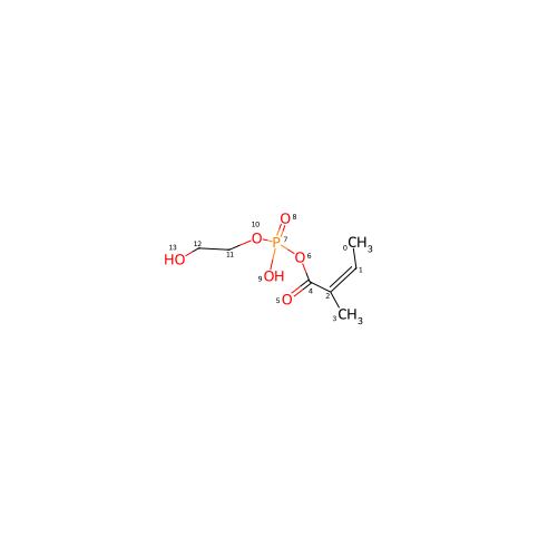 CC=C(C)C(=O)OP(=O)(O)OCCO